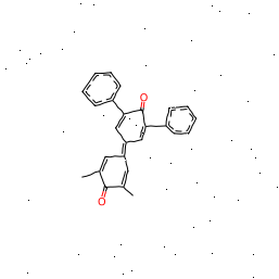 CC1=CC(=C2C=C(c3ccccc3)C(=O)C(c3ccccc3)=C2)C=C(C)C1=O